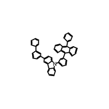 c1ccc(-c2cccc(-c3ccc4c(c3)c3ccccc3n4-c3cccc(-c4c5ccccc5c(-c5ccccc5)c5ccccc45)c3)c2)cc1